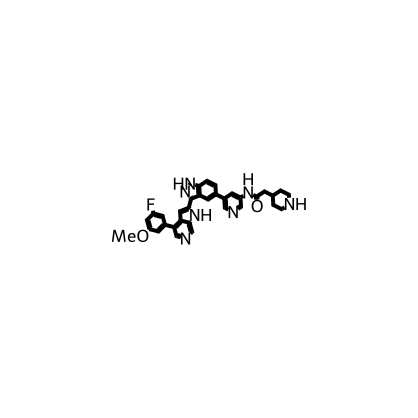 COc1cc(F)cc(-c2cncc3[nH]c(-c4n[nH]c5ccc(-c6cncc(NC(=O)CC7CCNCC7)c6)cc45)cc23)c1